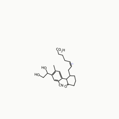 Cc1cc(C2C(=O)CCCC2C/C=C\CCCC(=O)O)c(C#N)cc1C(O)CO